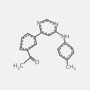 CC(=O)c1cccc(-c2cc(Nc3ccc(C)cc3)ncn2)c1